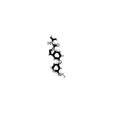 CC(C)NC(=O)n1ccc2cc(Oc3ccnc(N)c3)ccc21